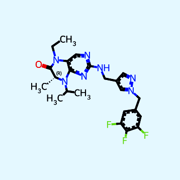 CCN1C(=O)[C@@H](C)N(C(C)C)c2nc(NCc3cnn(Cc4cc(F)c(F)c(F)c4)c3)ncc21